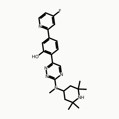 CN(c1ncc(-c2ccc(-c3cc(F)ccn3)cc2O)nn1)C1CC(C)(C)NC(C)(C)C1